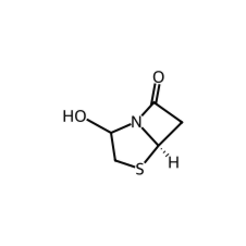 O=C1C[C@H]2SCC(O)N12